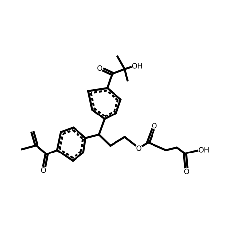 C=C(C)C(=O)c1ccc(C(CCOC(=O)CCC(=O)O)c2ccc(C(=O)C(C)(C)O)cc2)cc1